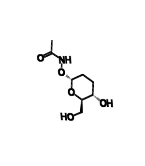 CC(=O)NO[C@@H]1CC[C@H](O)[C@@H](CO)O1